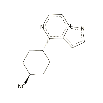 N#C[C@H]1CC[C@H](c2nccn3nccc23)CC1